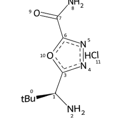 CC(C)(C)[C@H](N)c1nnc(C(N)=O)o1.Cl